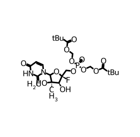 C=C1NC(=O)C=CN1C1O[C@](F)(COP(=O)(OCOC(=O)C(C)(C)C)OCOC(=O)C(C)(C)C)[C@@H](O)[C@@]1(C)O